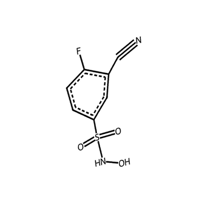 N#Cc1cc(S(=O)(=O)NO)ccc1F